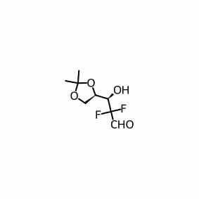 CC1(C)OC[C@H]([C@@H](O)C(F)(F)C=O)O1